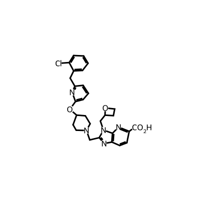 O=C(O)c1ccc2nc(CN3CCC(Oc4cccc(Cc5ccccc5Cl)n4)CC3)n(CC3CCO3)c2n1